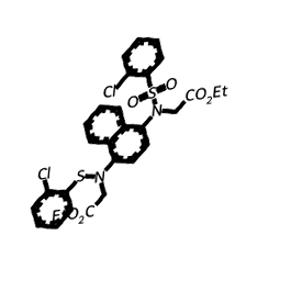 CCOC(=O)CN(Sc1ccccc1Cl)c1ccc(N(CC(=O)OCC)S(=O)(=O)c2ccccc2Cl)c2ccccc12